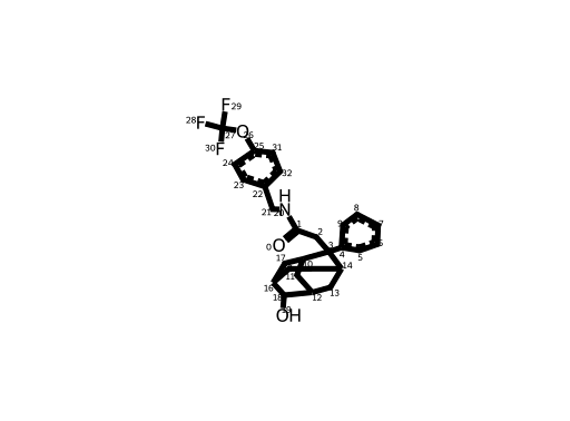 O=C(CC1(c2ccccc2)C2CC3CC1CC(C2)C3O)NCc1ccc(OC(F)(F)F)cc1